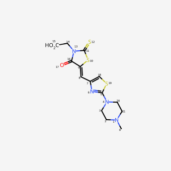 CN1CCN(c2nc(/C=C3\SC(=S)N(CC(=O)O)C3=O)cs2)CC1